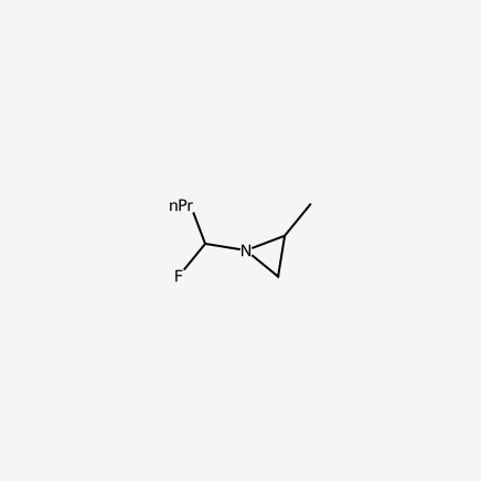 [CH2]CCC(F)N1CC1C